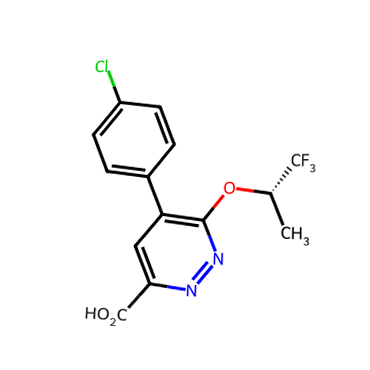 C[C@H](Oc1nnc(C(=O)O)cc1-c1ccc(Cl)cc1)C(F)(F)F